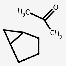 C1CC2CC2C1.CC(C)=O